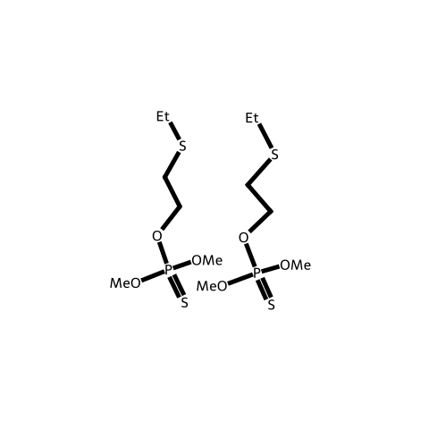 CCSCCOP(=S)(OC)OC.CCSCCOP(=S)(OC)OC